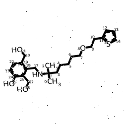 CC(C)(CCCCCOCCc1cccs1)NCc1c(CO)ccc(O)c1CO